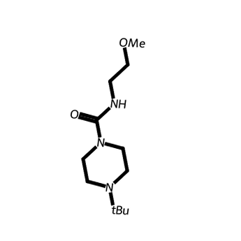 COCCNC(=O)N1CCN(C(C)(C)C)CC1